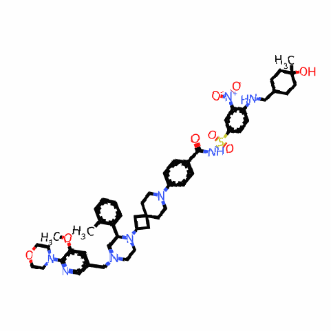 COc1cc(CN2CCN(C3CC4(CCN(c5ccc(C(=O)NS(=O)(=O)c6ccc(NCC7CCC(C)(O)CC7)c([N+](=O)[O-])c6)cc5)CC4)C3)C(c3ccccc3C)C2)cnc1N1CCOCC1